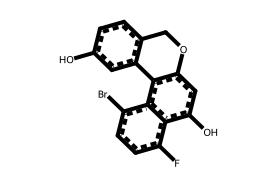 Oc1ccc2c(c1)-c1c(cc(O)c3c(F)ccc(Br)c13)OC2